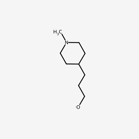 CN1CCC(CCC[O])CC1